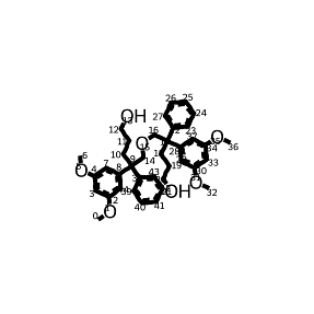 COc1cc(OC)cc(C(CCCO)(COCC(CCCO)(c2ccccc2)c2cc(OC)cc(OC)c2)c2ccccc2)c1